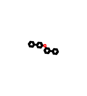 c1ccc(-c2ccc(Oc3cccc(-c4ccccc4)c3)cc2)cc1